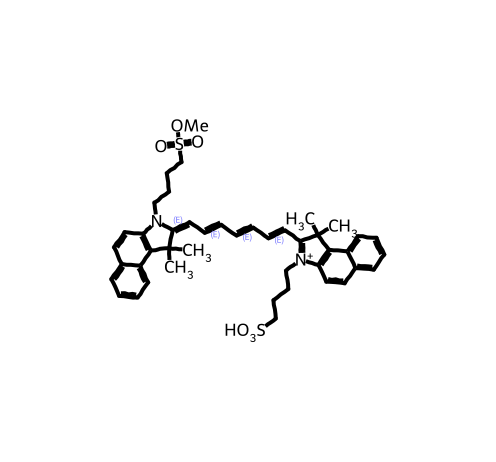 COS(=O)(=O)CCCCN1/C(=C/C=C/C=C/C=C/C2=[N+](CCCCS(=O)(=O)O)c3ccc4ccccc4c3C2(C)C)C(C)(C)c2c1ccc1ccccc21